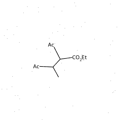 CCOC(=O)C(C(C)=O)C(C)C(C)=O